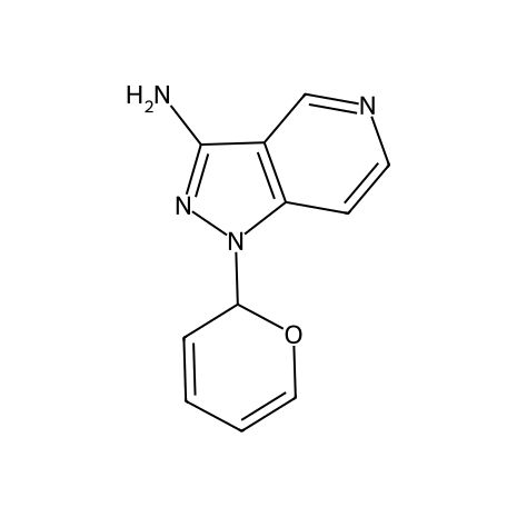 Nc1nn(C2C=CC=CO2)c2ccncc12